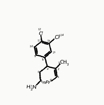 CCC/C=C(/C)C(CCN)c1ccc(Cl)c(Cl)c1